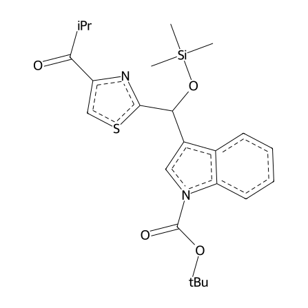 CC(C)C(=O)c1csc(C(O[Si](C)(C)C)c2cn(C(=O)OC(C)(C)C)c3ccccc23)n1